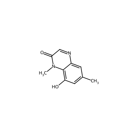 Cc1cc(O)c2c(c1)ncc(=O)n2C